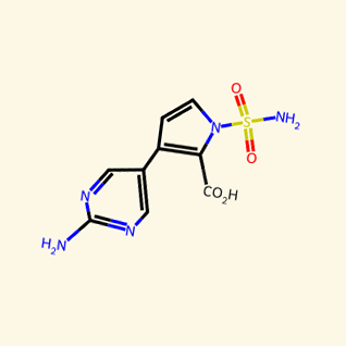 Nc1ncc(-c2ccn(S(N)(=O)=O)c2C(=O)O)cn1